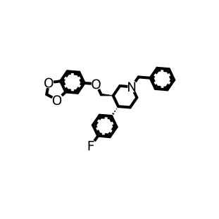 Fc1ccc([C@H]2CCN(Cc3ccccc3)C[C@@H]2COc2ccc3c(c2)OCO3)cc1